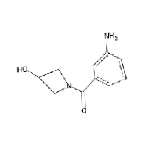 Nc1cccc(C(=O)N2CC(O)C2)c1